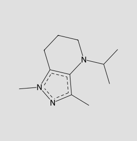 Cc1nn(C)c2c1N(C(C)C)CCC2